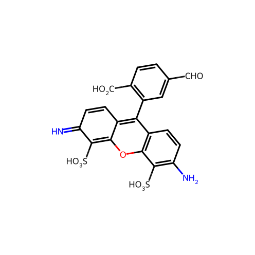 N=c1ccc2c(-c3cc(C=O)ccc3C(=O)O)c3ccc(N)c(S(=O)(=O)O)c3oc-2c1S(=O)(=O)O